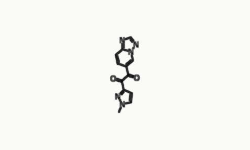 Cn1ccc(C(=O)C(=O)c2ccc3ncnn3c2)n1